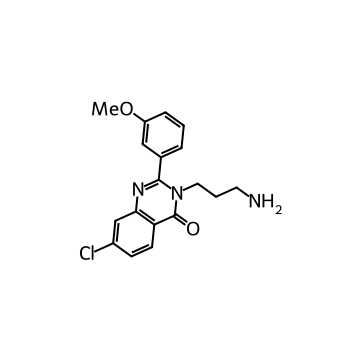 COc1cccc(-c2nc3cc(Cl)ccc3c(=O)n2CCCN)c1